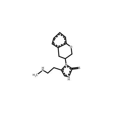 CNCCc1c[nH]c(=S)n1C1COc2ccccc2C1